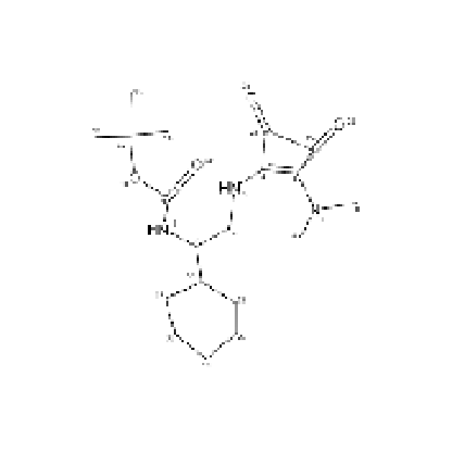 CN(C)c1c(NCC(NC(=O)OC(C)(C)C)C2CCCCC2)c(=O)c1=O